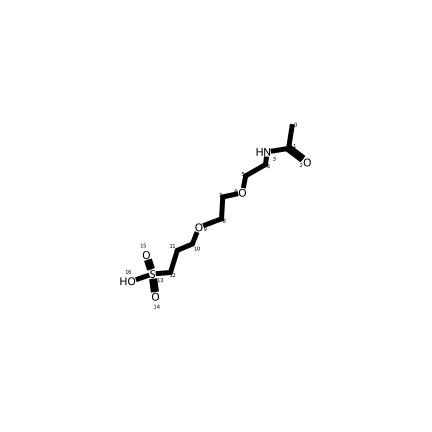 CC(=O)NCCOCCOCCCS(=O)(=O)O